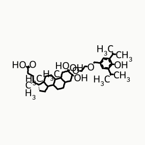 CC(C)c1cc(COCCO[C@]2(O)CC3CCC4C(CC[C@@]5(C)C4CC[C@@H]5[C@H](C)CCC(=O)O)[C@@]3(C)CC2(O)O)cc(C(C)C)c1O